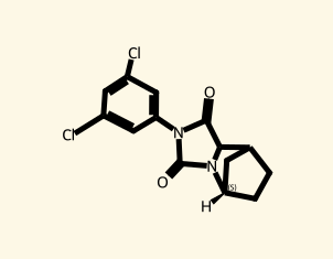 O=C1C2C3CC[C@@H](C3)N2C(=O)N1c1cc(Cl)cc(Cl)c1